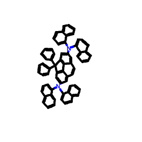 c1ccc(C2(c3ccccc3)c3cc(N(c4cccc5ccccc45)c4cccc5ccccc45)cc4ccc5cc(N(c6cccc7ccccc67)c6cccc7ccccc67)cc2c5c34)cc1